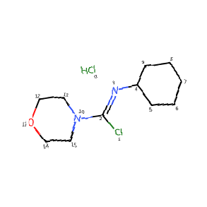 Cl.Cl/C(=N\C1CCCCC1)N1CCOCC1